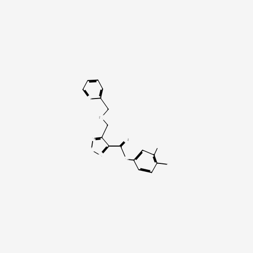 N=C(Nc1ccc(F)c(Cl)c1)c1nonc1CNCc1ccccn1